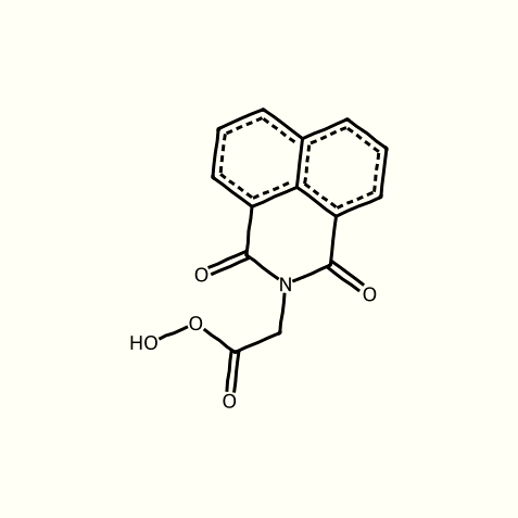 O=C(CN1C(=O)c2cccc3cccc(c23)C1=O)OO